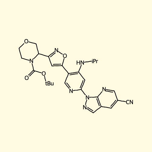 CC(C)Nc1cc(-n2ncc3cc(C#N)cnc32)ncc1-c1cc(C2COCCN2C(=O)OC(C)(C)C)no1